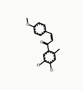 COc1ccc(/C=C\C(=O)c2cc(Cl)c(Cl)cc2C)cc1